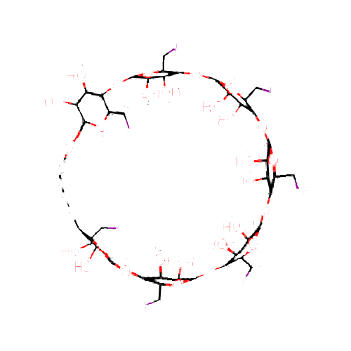 OC1C2OC(CI)C(CCCCOC3OC(CI)C(OC4OC(CI)C(OC5OC(CI)C(OC6OC(CI)C(OC7OC(CI)C(OC8OC(CI)C(O2)C(O)C8O)C(O)C7O)C(O)C6O)C(O)C5O)C(O)C4O)C(O)C3O)C1O